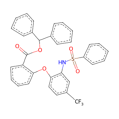 O=C(OC(c1ccccc1)c1ccccc1)c1ccccc1Oc1ccc(C(F)(F)F)cc1NS(=O)(=O)c1ccccc1